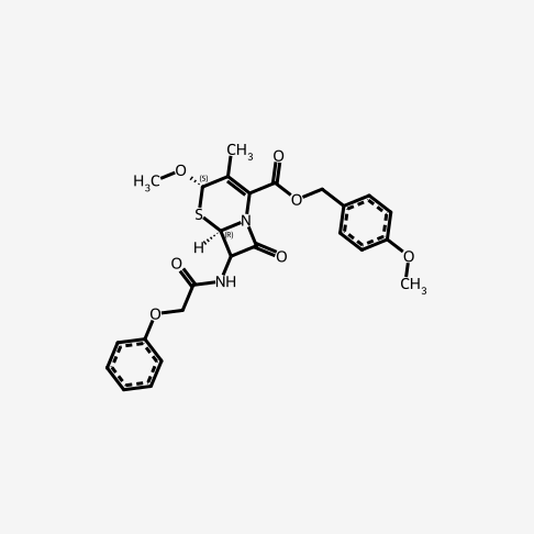 COc1ccc(COC(=O)C2=C(C)[C@@H](OC)S[C@@H]3C(NC(=O)COc4ccccc4)C(=O)N23)cc1